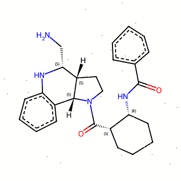 NC[C@H]1Nc2ccccc2[C@@H]2[C@H]1CCN2C(=O)[C@H]1CCCC[C@H]1NC(=O)c1ccccc1